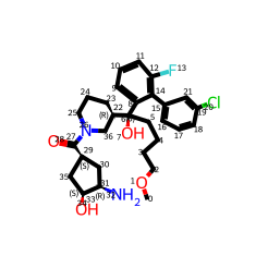 COCCCC[C@@](O)(c1cccc(F)c1-c1cccc(Cl)c1)[C@@H]1CCCN(C(=O)[C@H]2C[C@@H](N)[C@@H](O)C2)C1